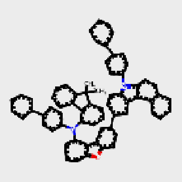 CC1(C)c2ccccc2-c2c(N(c3ccc(-c4ccccc4)cc3)c3cccc4oc5ccc(-c6ccc7c(c6)c6c8ccccc8ccc6n7-c6ccc(-c7ccccc7)cc6)cc5c34)cccc21